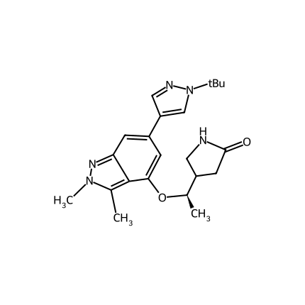 Cc1c2c(O[C@H](C)C3CNC(=O)C3)cc(-c3cnn(C(C)(C)C)c3)cc2nn1C